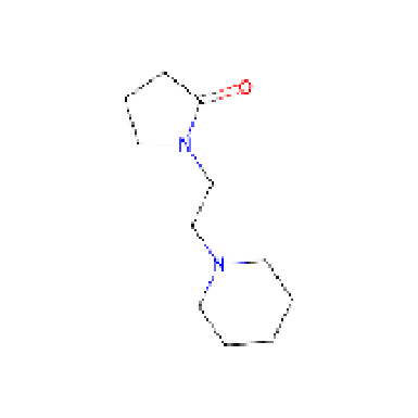 O=C1CCCN1CCN1CCCCC1